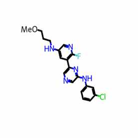 COCCCNc1cnc(F)c(-c2cncc(Nc3cccc(Cl)c3)n2)c1